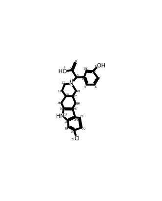 C=C(O)C(c1cccc(O)c1)N1CCC2Cc3[nH]c4cc(Cl)ccc4c3CC2C1